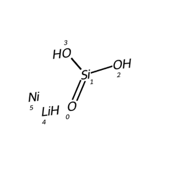 O=[Si](O)O.[LiH].[Ni]